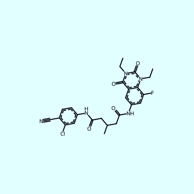 CCn1c(=O)c2cc(NC(=O)CC(C)CC(=O)Nc3ccc(C#N)c(Cl)c3)cc(F)c2n(CC)c1=O